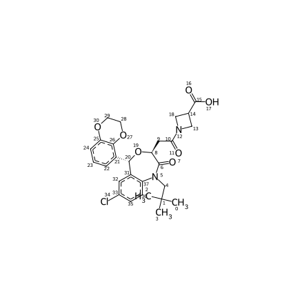 CC(C)(C)CN1C(=O)[C@H](CC(=O)N2CC(C(=O)O)C2)O[C@@H](c2cccc3c2OCCO3)c2cc(Cl)ccc21